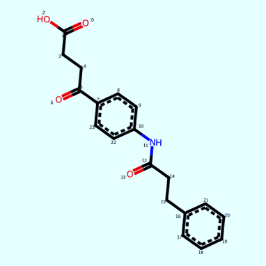 O=C(O)CCC(=O)c1ccc(NC(=O)CCc2ccccc2)cc1